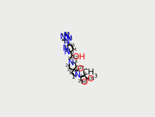 CC1=C(N2C=CC3(CCN(CC(O)c4ccc(-n5cnnn5)nn4)CC3)C2=O)COC1=O